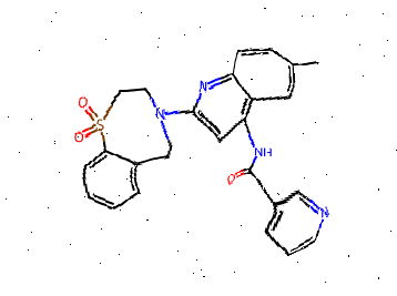 Cc1ccc2nc(N3CCS(=O)(=O)c4ccccc4C3)cc(NC(=O)c3cccnc3)c2c1